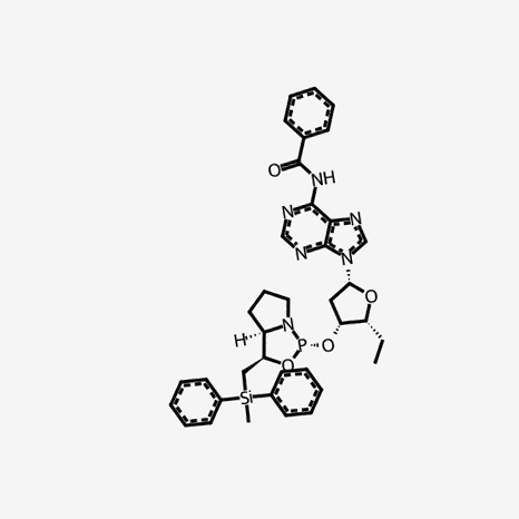 CC[C@H]1O[C@@H](n2cnc3c(NC(=O)c4ccccc4)ncnc32)C[C@H]1O[P@]1O[C@@H](C[Si](C)(c2ccccc2)c2ccccc2)[C@H]2CCCN21